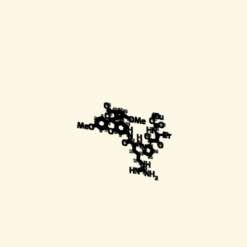 COc1ccc2c(c1)Oc1cc(NC(=O)C(CCCNC(=N)N)NN3CCC[C@H]3C(=O)C(=O)[C@@H](NC(=O)OC(C)(C)C)C(C)C)ccc1C21OC(=O)c2ccc(OC)cc21